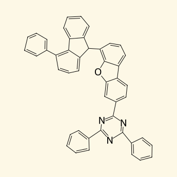 c1ccc(-c2nc(-c3ccccc3)nc(-c3ccc4c(c3)oc3c(C5c6ccccc6-c6c(-c7ccccc7)cccc65)cccc34)n2)cc1